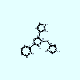 c1cnc(-c2cc(-c3ccon3)n(Cc3cscn3)n2)nc1